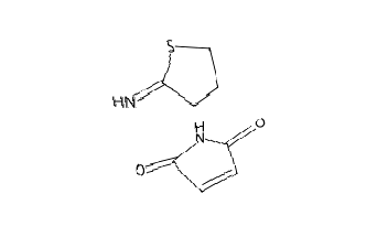 N=C1CCCS1.O=C1C=CC(=O)N1